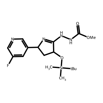 COC(=O)NNC1=NC(c2cncc(F)c2)CC1O[Si](C)(C)C(C)(C)C